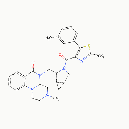 Cc1cccc(-c2sc(C)nc2C(=O)N2CC3CC3C2CNC(=O)c2ccccc2N2CCN(C)CC2)c1